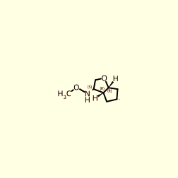 CON[C@@H]1CO[C@@H]2C[CH]C[C@H]12